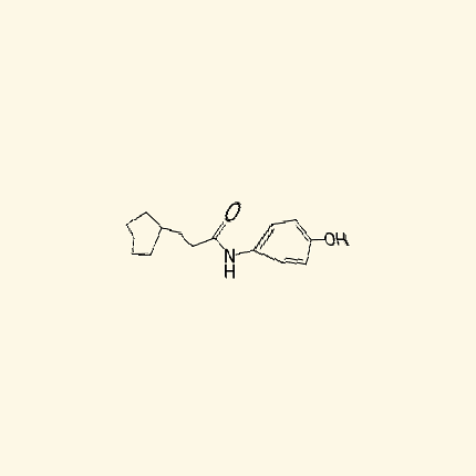 O=C(CCC1CCCC1)Nc1ccc(O)cc1